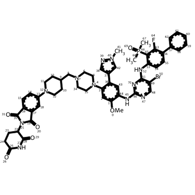 COc1cc(N2CCN(CC3CCN(c4ccc5c(c4)C(=O)N(C4CCC(=O)NC4=O)C5=O)CC3)CC2)c(-c2cnn(C)c2)cc1Nc1ncc(Br)c(Nc2ccc(-c3ccccc3)c(F)c2P(C)(C)=O)n1